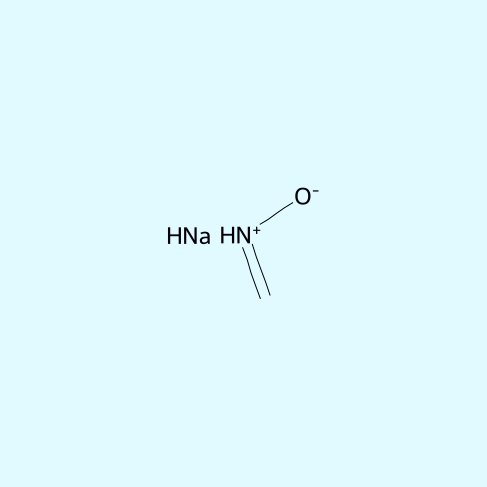 C=[NH+][O-].[NaH]